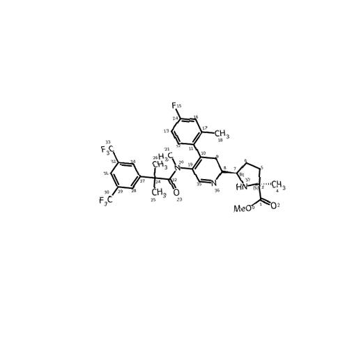 COC(=O)[C@]1(C)CC[C@H](C2CC(c3ccc(F)cc3C)=C(N(C)C(=O)C(C)(C)c3cc(C(F)(F)F)cc(C(F)(F)F)c3)C=N2)N1